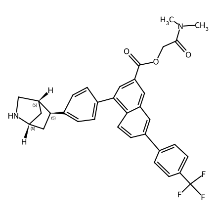 CN(C)C(=O)COC(=O)c1cc(-c2ccc([C@H]3C[C@H]4C[C@@H]3CN4)cc2)c2ccc(-c3ccc(C(F)(F)F)cc3)cc2c1